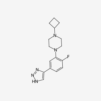 Fc1ccc(-c2c[nH]nn2)cc1N1CCN(C2CCC2)CC1